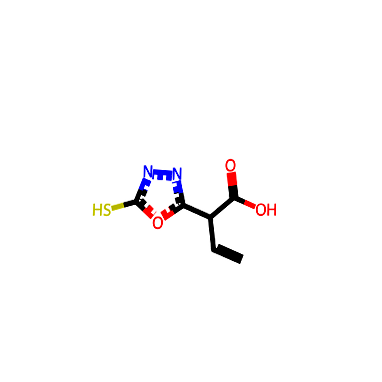 C=CC(C(=O)O)c1nnc(S)o1